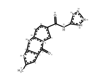 Cc1cc2c(=O)n3cc(C(=O)Nc4nnn[nH]4)ccc3nc2s1